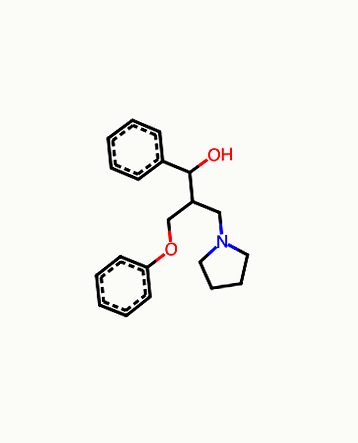 OC(c1ccccc1)C(COc1ccccc1)CN1CCCC1